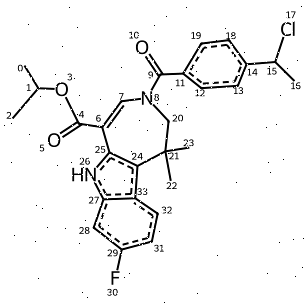 CC(C)OC(=O)C1=CN(C(=O)c2ccc(C(C)Cl)cc2)CC(C)(C)c2c1[nH]c1cc(F)ccc21